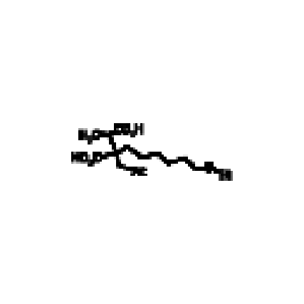 C=C(C(=O)O)C(CCCCCCOCC)(CC(C)=O)C(=O)O